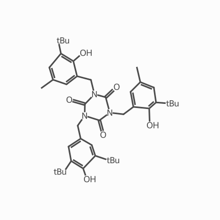 Cc1cc(Cn2c(=O)n(Cc3cc(C(C)(C)C)c(O)c(C(C)(C)C)c3)c(=O)n(Cc3cc(C)cc(C(C)(C)C)c3O)c2=O)c(O)c(C(C)(C)C)c1